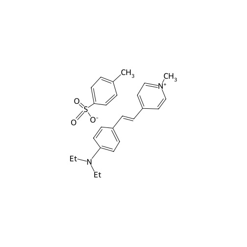 CCN(CC)c1ccc(C=Cc2cc[n+](C)cc2)cc1.Cc1ccc(S(=O)(=O)[O-])cc1